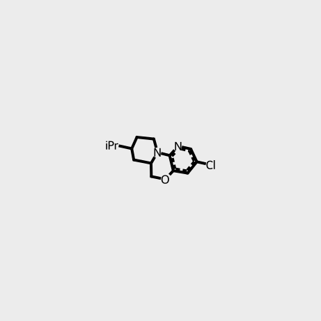 CC(C)C1CCN2c3ncc(Cl)cc3OCC2C1